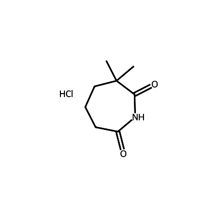 CC1(C)CCCC(=O)NC1=O.Cl